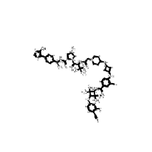 Cc1ncsc1-c1ccc([C@H](C)NC(=O)[C@@H]2C[C@@H](O)CN2C(=O)C(NC(=O)CN2CCC(OC3CC(Nc4ccc(C(=O)NC5C(C)(C)C(Oc6ccc(C#N)c(Cl)c6)C5(C)C)cc4F)C3)CC2)C(C)(C)C)cc1